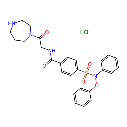 Cl.O=C(NCC(=O)N1CCCNCC1)c1ccc(S(=O)(=O)N(Oc2ccccc2)c2ccccc2)cc1